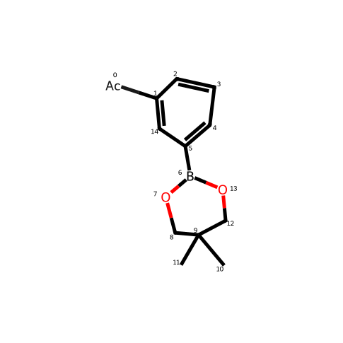 CC(=O)c1cccc(B2OCC(C)(C)CO2)c1